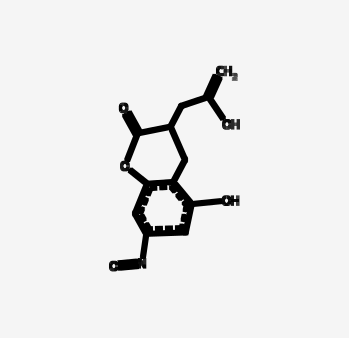 C=C(O)CC1Cc2c(O)cc(N=O)cc2OC1=O